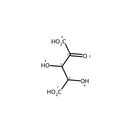 O=C(O)C(=O)C(O)C(O)C(=O)O